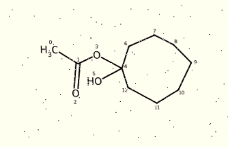 CC(=O)OC1(O)CCCCCCC1